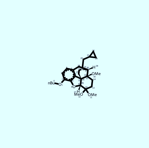 CCCCOc1ccc2c3c1O[C@H]1C(OC)(OC)CC[C@@]4(OC)[C@@H](C2)N(CC2CC2)CC[C@]314